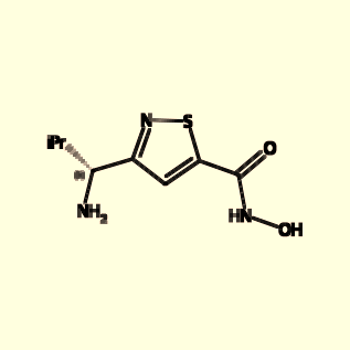 CC(C)[C@@H](N)c1cc(C(=O)NO)sn1